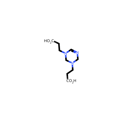 O=C(O)CCN1C=NCN(CCC(=O)O)C1